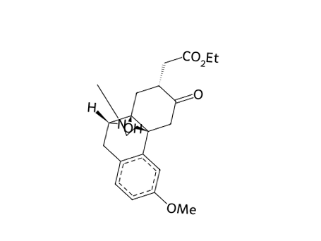 CCOC(=O)C[C@H]1C[C@@]2(O)[C@H]3Cc4ccc(OC)cc4[C@@]2(CCN3C)CC1=O